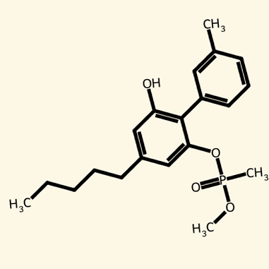 CCCCCc1cc(O)c(-c2cccc(C)c2)c(OP(C)(=O)OC)c1